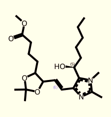 CCCCC[C@H](O)c1c(/C=C/C2OC(C)(C)OC2CCCC(=O)OC)nc(C)n1C